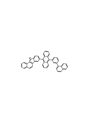 c1cc(-c2cccc3ccccc23)cc(-c2c3ccccc3c(-c3ccc4sc5c6ccccc6ccc5c4c3)c3ccccc23)c1